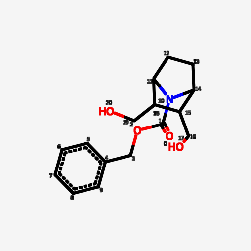 O=C(OCc1ccccc1)N1C2CCC1C(CO)C2CO